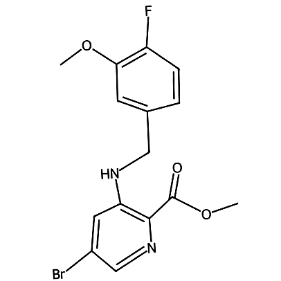 COC(=O)c1ncc(Br)cc1NCc1ccc(F)c(OC)c1